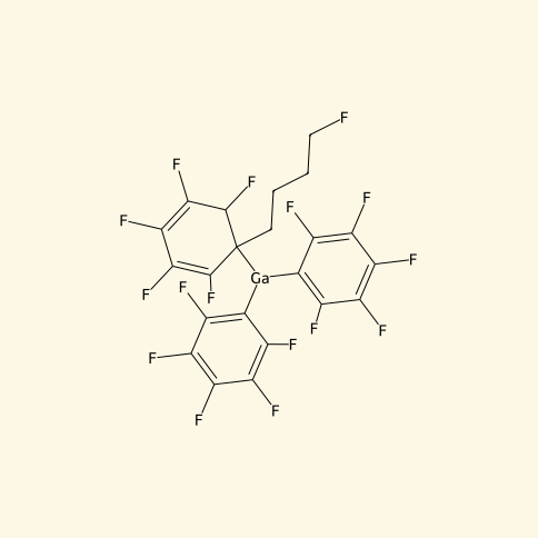 FCCCC[C]1([Ga]([c]2c(F)c(F)c(F)c(F)c2F)[c]2c(F)c(F)c(F)c(F)c2F)C(F)=C(F)C(F)=C(F)C1F